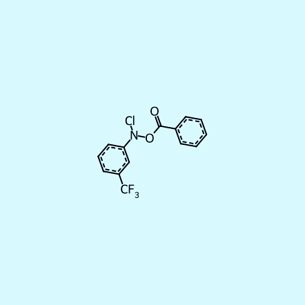 O=C(ON(Cl)c1cccc(C(F)(F)F)c1)c1ccccc1